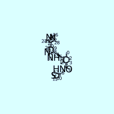 Cc1ccc(C(=O)NCc2ccsc2)cc1C#Cc1cc(-c2c(C)nn(C)c2C)cnc1N